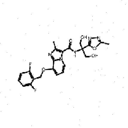 Cc1nnc(C(CO)(CO)NC(=O)c2c(C)nc3c(OCc4c(F)cccc4F)cccn23)o1